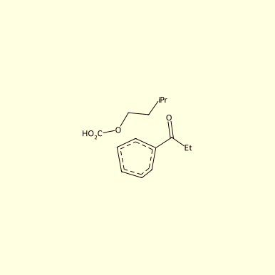 CC(C)CCOC(=O)O.CCC(=O)c1ccccc1